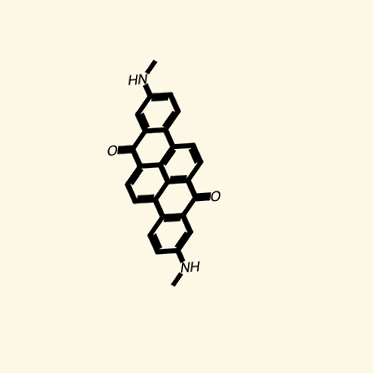 CNc1ccc2c(c1)C(=O)c1ccc3c4c(ccc-2c14)C(=O)c1cc(NC)ccc1-3